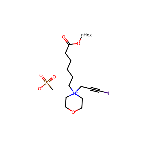 CCCCCCOC(=O)CCCCC[N+]1(CC#CI)CCOCC1.CS(=O)(=O)[O-]